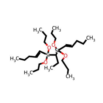 CCCC=C[Si](OCCC)(OCCC)C(CC)[Si](C=CCCC)(OCCC)OCCC